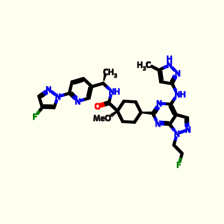 CO[C@]1(C(=O)N[C@@H](C)c2ccc(-n3cc(F)cn3)nc2)CC[C@H](c2nc(Nc3cc(C)[nH]n3)c3cnn(CCF)c3n2)CC1